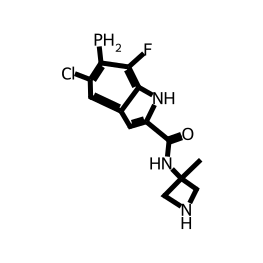 CC1(NC(=O)c2cc3cc(Cl)c(P)c(F)c3[nH]2)CNC1